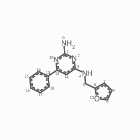 Nc1nc(NCc2ccco2)cc(-c2ccccc2)n1